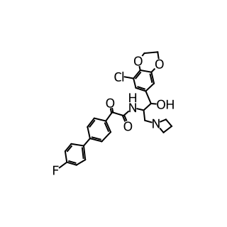 O=C(NC(CN1CCC1)C(O)c1cc(Cl)c2c(c1)OCCO2)C(=O)c1ccc(-c2ccc(F)cc2)cc1